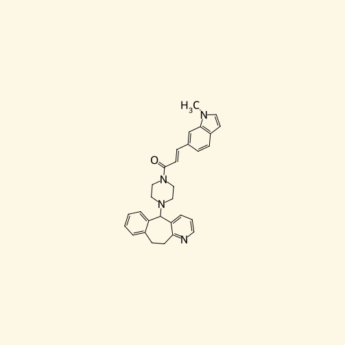 Cn1ccc2ccc(/C=C/C(=O)N3CCN(C4c5ccccc5CCc5ncccc54)CC3)cc21